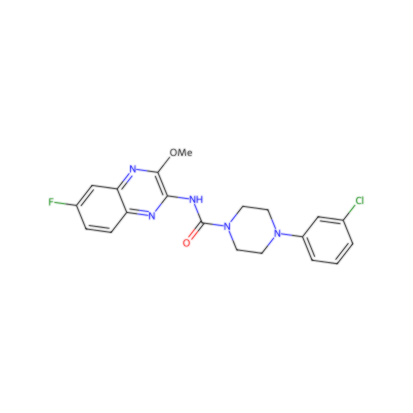 COc1nc2cc(F)ccc2nc1NC(=O)N1CCN(c2cccc(Cl)c2)CC1